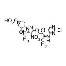 Cc1c([N+](=O)[O-])c(OCC[C@@H](C)Nc2nc(Cl)ncc2Cl)nn1C1CCN(C(=O)O)CC1O